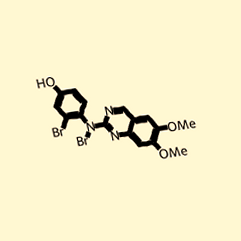 COc1cc2cnc(N(Br)c3ccc(O)cc3Br)nc2cc1OC